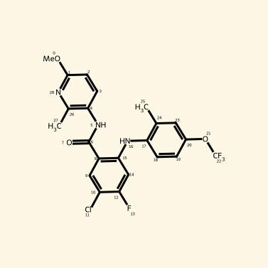 COc1ccc(NC(=O)c2cc(Cl)c(F)cc2Nc2ccc(OC(F)(F)F)cc2C)c(C)n1